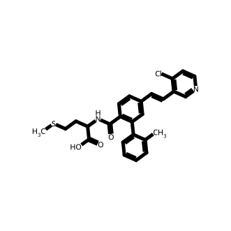 CSCCC(NC(=O)c1ccc(C=Cc2cnccc2Cl)cc1-c1ccccc1C)C(=O)O